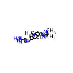 CCc1nc2c(C)cc(C)nc2n1Cc1ccc2c(c1)CCc1cc(CN3CCC(c4nn[nH]n4)CC3)ccc1N2C